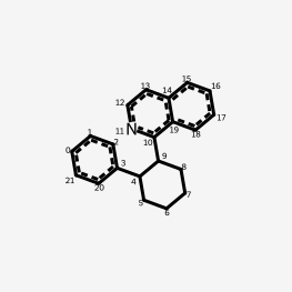 c1ccc(C2CCCCC2c2nccc3ccccc23)cc1